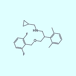 Cc1cccc(C)c1C(CNCC1CC1)COCc1c(F)cccc1F